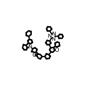 c1ccc(-c2ccc3c(c2)c2ccccc2n3-c2ccc3c(c2)oc2ccc(-c4cccc(-c5cc(-c6cccc(-c7nc(-c8ccccc8)nc(-c8ccccc8)n7)c6)c6c(c5)oc5ccccc56)c4)cc23)cc1